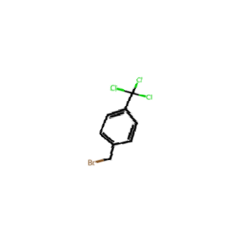 ClC(Cl)(Cl)c1ccc(CBr)cc1